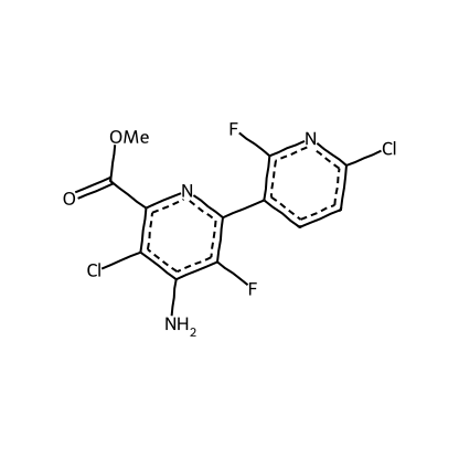 COC(=O)c1nc(-c2ccc(Cl)nc2F)c(F)c(N)c1Cl